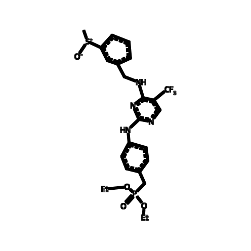 CCOP(=O)(Cc1ccc(Nc2ncc(C(F)(F)F)c(NCc3cccc([S+](C)[O-])c3)n2)cc1)OCC